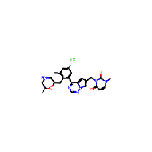 Cc1cc(F)cc(-c2ncnn3cc(Cn4c(=O)ccn(C)c4=O)cc23)c1CC1CNC[C@H](C)O1.Cl